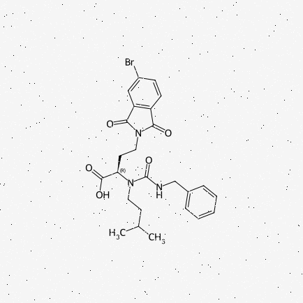 CC(C)CCN(C(=O)NCc1ccccc1)[C@H](CCN1C(=O)c2ccc(Br)cc2C1=O)C(=O)O